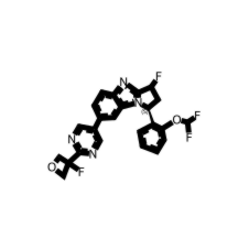 FC(F)Oc1ccccc1[C@@H]1CC(F)c2nc3ccc(-c4cnc(C5(F)COC5)nc4)cc3n21